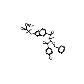 COC(=O)C(C)(C)Cc1cc2cc(C(=O)C(C)(C)C(OCc3ccccc3)C(=O)c3ccc(Cl)cc3)ccn2c1